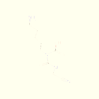 N#CCNC(=O)N(CCCCCN)C(=O)O